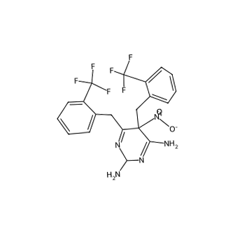 NC1=NC(N)N=C(Cc2ccccc2C(F)(F)F)C1(Cc1ccccc1C(F)(F)F)[N+](=O)[O-]